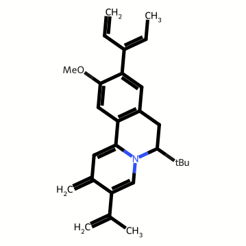 C=C/C(=C\C)c1cc2c(cc1OC)C1=CC(=C)C(C(=C)C)=CN1C(C(C)(C)C)C2